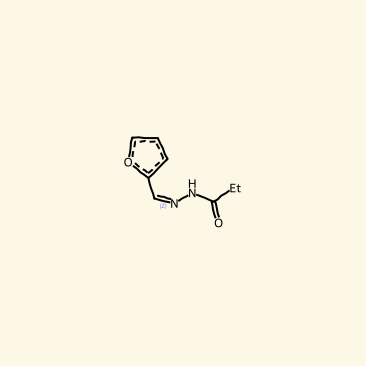 CCC(=O)N/N=C\c1ccco1